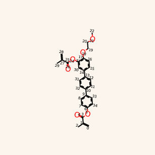 C=C(C)C(=O)Oc1ccc(-c2ccc(-c3ccc(OCCOC)c(OC(=O)C(=C)C)c3)cc2)cc1